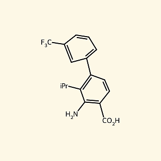 CC(C)c1c(-c2cccc(C(F)(F)F)c2)ccc(C(=O)O)c1N